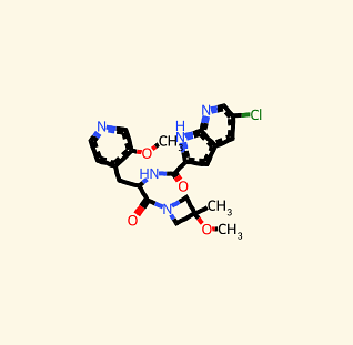 COc1cnccc1CC(NC(=O)c1cc2cc(Cl)cnc2[nH]1)C(=O)N1CC(C)(OC)C1